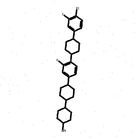 CCCC1CCC(C2CCC(c3ccc(C4CCC(c5ccc(CC)c(F)c5)CC4)c(F)c3)CC2)CC1